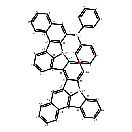 c1ccc(N(c2ccccc2)c2cc3ccccc3c3c4cccc5c6c7c8cc9ccccc9c9c%10ccccc%10n(c7ccc6n(c23)c54)c89)cc1